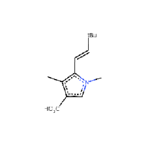 Cc1c(C(=O)O)cn(C)c1C=CC(C)(C)C